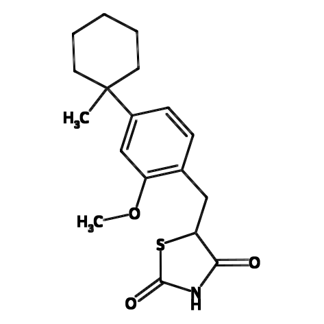 COc1cc(C2(C)CCCCC2)ccc1CC1SC(=O)NC1=O